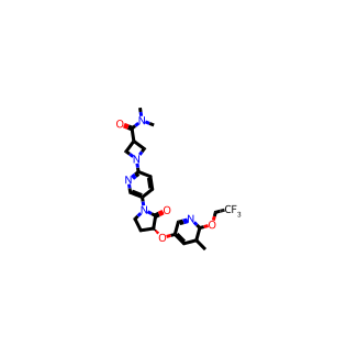 CC1C=C(O[C@H]2CCN(c3ccc(N4CC(C(=O)N(C)C)C4)nc3)C2=O)C=NC1OCC(F)(F)F